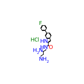 Cl.NCCC(N)CNC(=O)c1cc2ccc(-c3ccc(F)cc3)cc2[nH]1